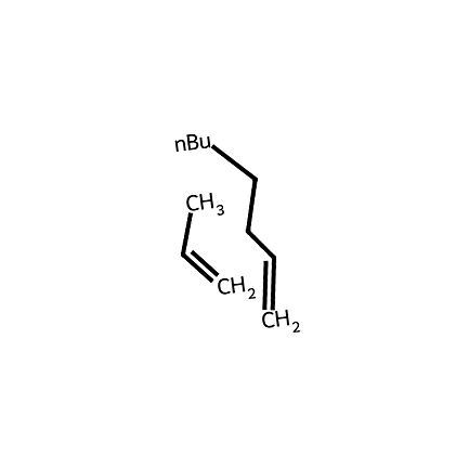 C=CC.C=CCCCCCC